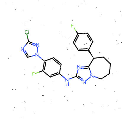 Fc1ccc([C@H]2CCCCn3nc(Nc4ccc(-n5cnc(Cl)n5)c(F)c4)nc32)cc1